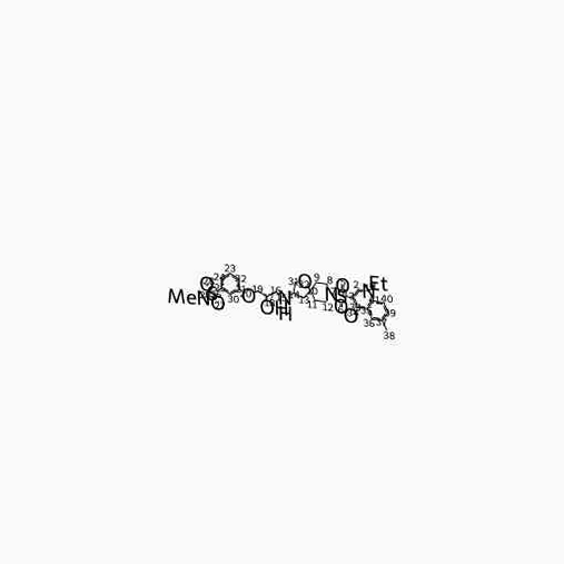 CCn1cc(S(=O)(=O)N2CCC3(CC2)CC(NCC(O)COc2cccc(S(=O)(=O)NC)c2)CO3)c(=O)c2cc(C)ccc21